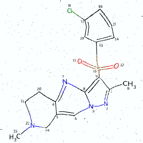 Cc1nn2cc3c(nc2c1S(=O)(=O)c1cccc(Cl)c1)CCN(C)C3